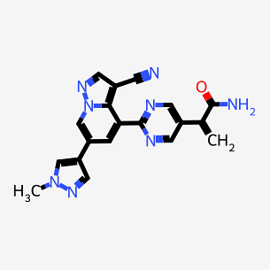 C=C(C(N)=O)c1cnc(-c2cc(-c3cnn(C)c3)cn3ncc(C#N)c23)nc1